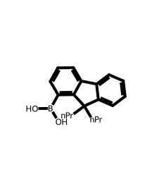 CCCC1(CCC)c2ccccc2-c2cccc(B(O)O)c21